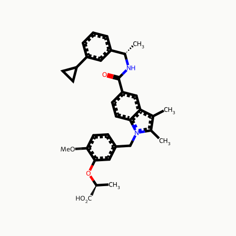 COc1ccc(Cn2c(C)c(C)c3cc(C(=O)N[C@@H](C)c4cccc(C5CC5)c4)ccc32)cc1O[C@@H](C)C(=O)O